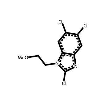 COCCn1c(Cl)nc2cc(Cl)c(Cl)cc21